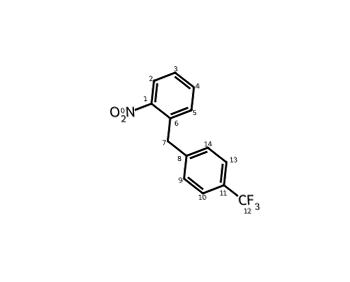 O=[N+]([O-])c1ccccc1Cc1ccc(C(F)(F)F)cc1